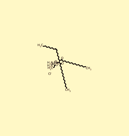 CCCCCCCC/C=C\CCCCCC(C(=O)CCCCCCCCCCCCCCC)C(C(=O)CCCCCCCCCCCCCCC)C(=O)OC(CC)[N+](C)(C)C.[Cl-]